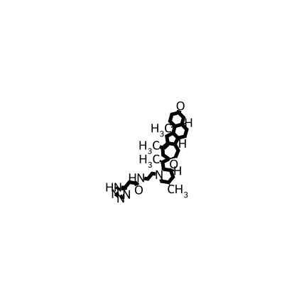 CC1=C2CC3[C@@H](CC[C@@H]4CC(=O)CC[C@]34C)C2CC[C@@]2(C1)O[C@@H]1C[C@H](C)CN(CCNC(=O)Cc3nnn[nH]3)C1[C@H]2C